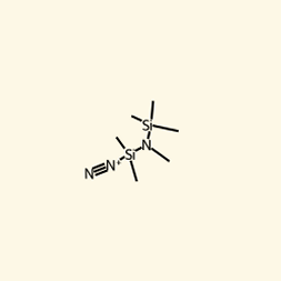 CN([Si](C)(C)C)[Si](C)(C)[N+]#N